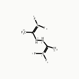 FS(F)=C(NNC(=S(F)F)C(F)(F)F)C(F)(F)F